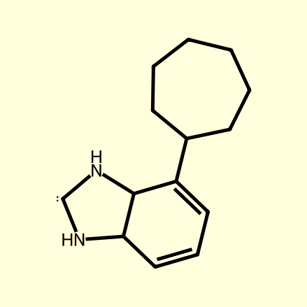 [C]1NC2C=CC=C(C3CCCCCC3)C2N1